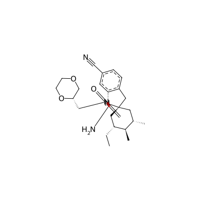 CC[C@@H]1C[C@@]2(Cc3ccc(C#N)cc3[C@]23N=C(N)N(C[C@H]2COCCO2)C3=O)C[C@H](C)[C@H]1C